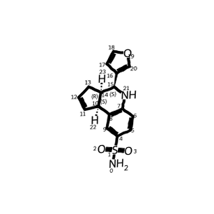 NS(=O)(=O)c1ccc2c(c1)[C@H]1C=CC[C@H]1[C@@H](c1ccoc1)N2